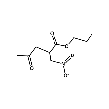 CCCOC(=O)C(CC(C)=O)C[N+](=O)[O-]